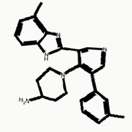 Cc1cccc(-c2cncc(-c3nc4c(C)cccc4[nH]3)c2N2CCC(N)CC2)c1